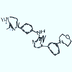 C=CN(/N=C(/C)N)c1ccc(Nc2nccc(-c3cccc(N4CCOCC4)c3)n2)cc1